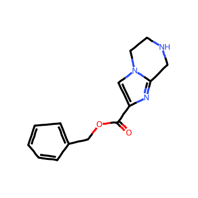 O=C(OCc1ccccc1)c1cn2c(n1)CNCC2